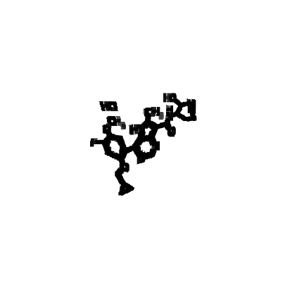 COc1cc(-c2ncnc3c(C(=O)NC4CCNCC4O)c(C)[nH]c23)c(OCC2CC2)cc1F.Cl